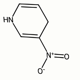 O=[N+]([O-])C1=CNC=CC1